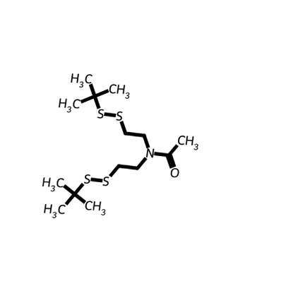 CC(=O)N(CCSSC(C)(C)C)CCSSC(C)(C)C